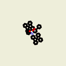 c1ccc(-c2ccc(N(c3ccc4c(c3)C(c3ccccc3)(c3ccccc3)c3ccccc3-4)c3ccccc3-c3cccc4c3C3(c5ccccc5-c5ccccc53)c3ccccc3-4)cc2)cc1